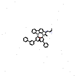 C=c1/c(=C\C=C/C)c2ccc3c4ccccc4n(-c4cccc(-c5cccc(-c6ccccc6)c5)c4)c3c2n1-c1cccc(-c2ccccc2)c1